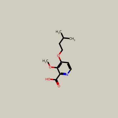 COc1c(OCCC(C)C)ccnc1C(=O)O